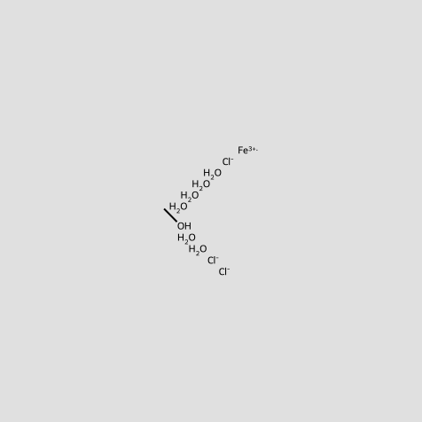 CO.O.O.O.O.O.O.[Cl-].[Cl-].[Cl-].[Fe+3]